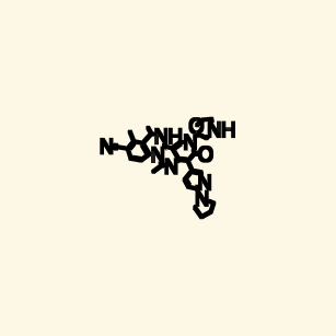 Cc1nc(NC(C)c2cccc(C#N)c2C)c2cn(C3CNCCO3)c(=O)c(-c3ccc(N4CCCC4)nc3)c2n1